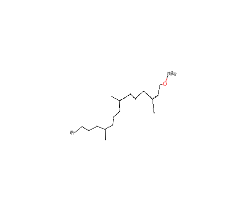 CCCCOCCC(C)CCCC(C)CCCC(C)CCCC(C)C